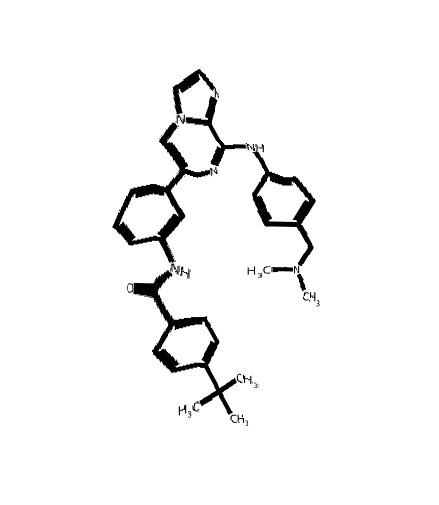 CN(C)Cc1ccc(Nc2nc(-c3cccc(NC(=O)c4ccc(C(C)(C)C)cc4)c3)cn3ccnc23)cc1